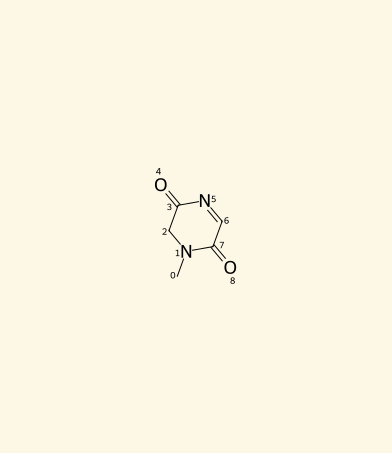 CN1CC(=O)N=CC1=O